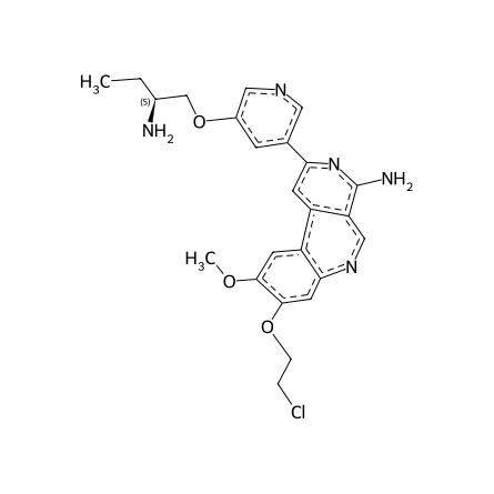 CC[C@H](N)COc1cncc(-c2cc3c(cnc4cc(OCCCl)c(OC)cc43)c(N)n2)c1